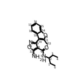 CCC(CC)NC(=O)c1c(-c2c(I)oc3ccccc23)noc1N